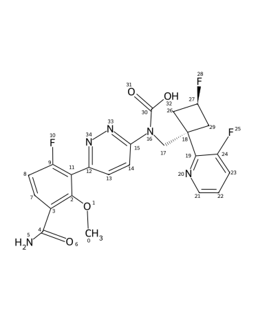 COc1c(C(N)=O)ccc(F)c1-c1ccc(N(C[C@]2(c3ncccc3F)C[C@@H](F)C2)C(=O)O)nn1